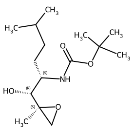 CC(C)CC[C@H](NC(=O)OC(C)(C)C)[C@@H](O)[C@]1(C)CO1